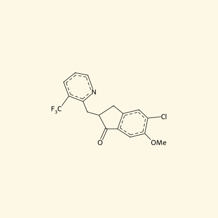 COc1cc2c(cc1Cl)CC(Cc1ncccc1C(F)(F)F)C2=O